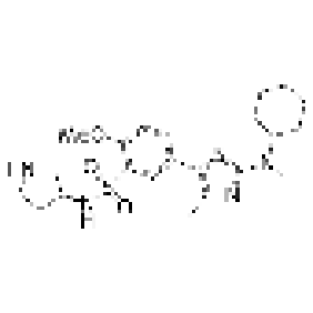 COc1ccc(-c2sc(N(C)C3CCCCC3)nc2C)cc1S(=O)(=O)N[C@H]1CCNC1